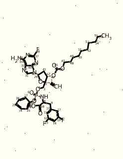 C#C[C@]1(CO[P@@](=O)(NC(Cc2cc(F)cc(F)c2)C(=O)O)Oc2ccccc2)O[C@@H](n2cnc3c(N)nc(F)nc32)C[C@@H]1OC(=O)OCCCCCCCCCC